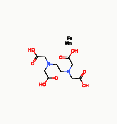 O=C(O)CN(CCN(CC(=O)O)CC(=O)O)CC(=O)O.[Fe].[Mn]